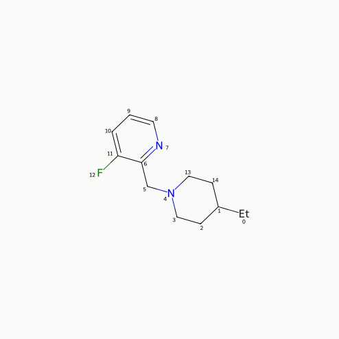 CCC1CCN(Cc2ncccc2F)CC1